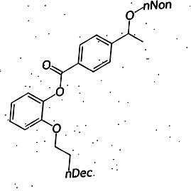 CCCCCCCCCCCCOc1ccccc1OC(=O)c1ccc(C(C)OCCCCCCCCC)cc1